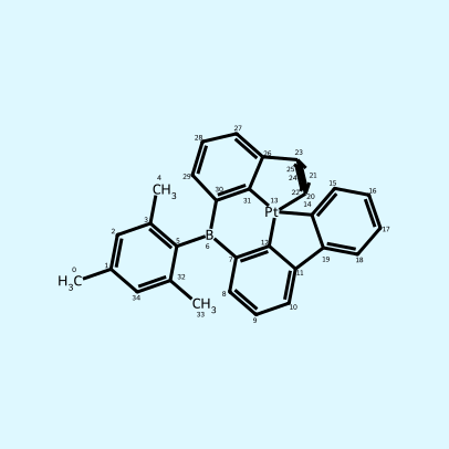 Cc1cc(C)c(B2c3cccc4[c]3[Pt]3([c]5ccccc5-4)[c]4ccccc4-c4cccc2[c]43)c(C)c1